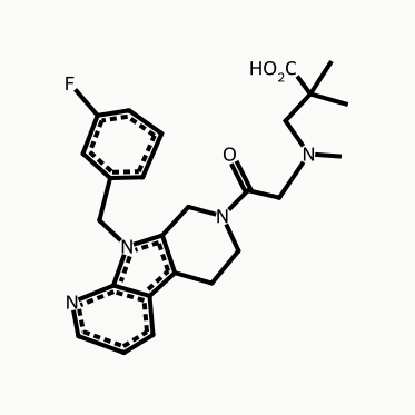 CN(CC(=O)N1CCc2c(n(Cc3cccc(F)c3)c3ncccc23)C1)CC(C)(C)C(=O)O